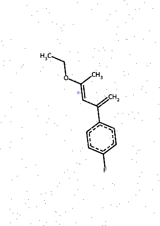 C=C(/C=C(\C)OCC)c1ccc(F)cc1